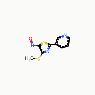 CSc1nc(-c2cccnc2)sc1N=O